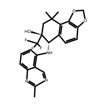 Cc1ncc2c(N[C@H]3c4ccc5c(c4C(C)(C)C[C@@]3(O)C(F)(F)F)OCO5)cccc2n1